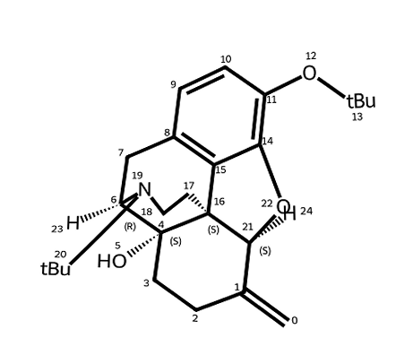 C=C1CC[C@@]2(O)[C@H]3Cc4ccc(OC(C)(C)C)c5c4[C@@]2(CCN3C(C)(C)C)[C@H]1O5